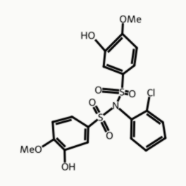 COc1ccc(S(=O)(=O)N(c2ccccc2Cl)S(=O)(=O)c2ccc(OC)c(O)c2)cc1O